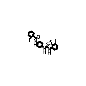 COc1c(I)cccc1NC(=S)Nc1ccc(NC(=O)c2ccccc2F)cc1